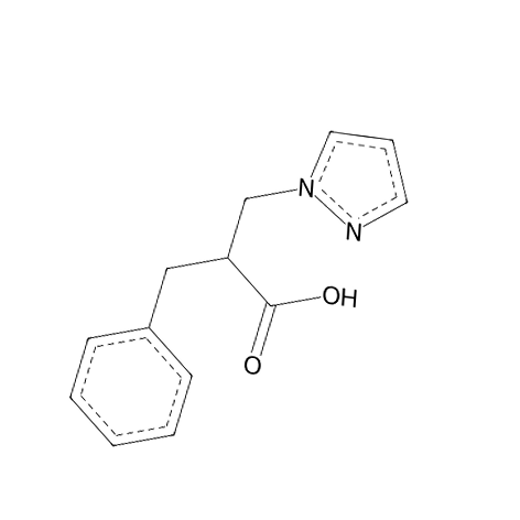 O=C(O)C(Cc1ccccc1)Cn1cccn1